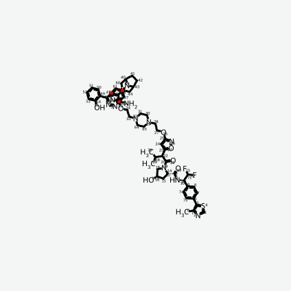 Cc1ncsc1-c1ccc([C@@H](NC(=O)[C@@H]2C[C@@H](O)CN2C(=O)C(c2cc(OCCN3CCN(CCOc4cc(N5C6CCC5CN(c5cc(-c7ccccc7O)nnc5N)C6)ccn4)CC3)no2)C(C)C)C(F)F)cc1